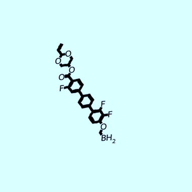 BCOc1ccc(-c2ccc(-c3ccc(C(=O)OC4COC(C=C)OC4)c(F)c3)cc2)c(F)c1F